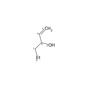 [CH2]CCC(O)C=C